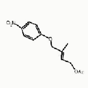 CC(=O)OC/C=C(\C)COc1ccc([N+](=O)[O-])cc1